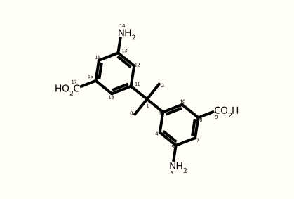 CC(C)(c1cc(N)cc(C(=O)O)c1)c1cc(N)cc(C(=O)O)c1